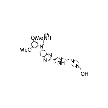 COc1cc(OC)cc(N(CCNC(C)C)c2ccc3ncc(C4=CN(CCCN5CCN(CCO)CC5)NC4)nc3c2)c1